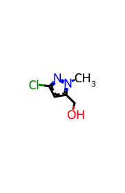 Cn1nc(Cl)cc1CO